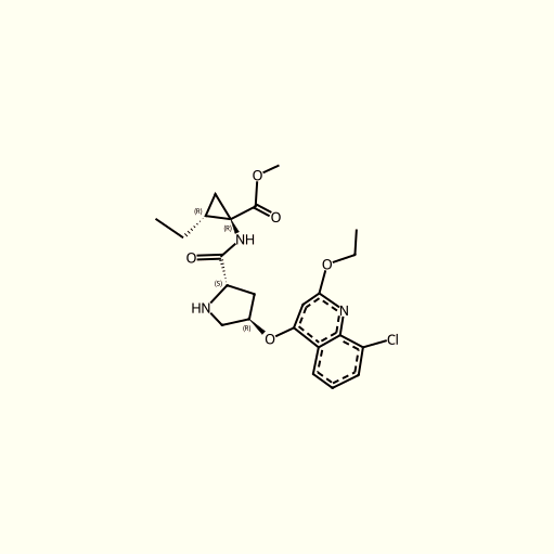 CCOc1cc(O[C@H]2CN[C@H](C(=O)N[C@]3(C(=O)OC)C[C@H]3CC)C2)c2cccc(Cl)c2n1